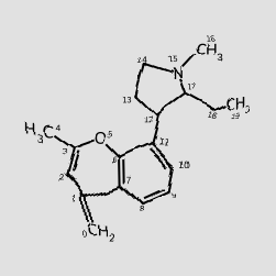 C=C1C=C(C)Oc2c1cccc2C1CCN(C)C1CC